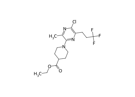 CCOC(=O)C1CCN(c2nc(CCC(F)(F)F)c(Cl)nc2C)CC1